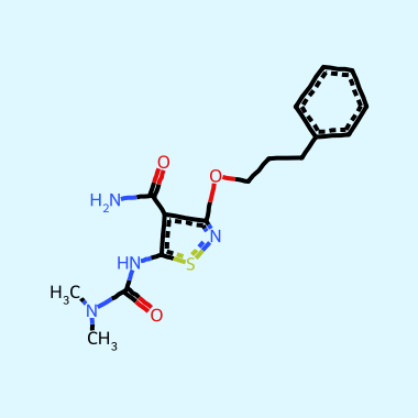 CN(C)C(=O)Nc1snc(OCCCc2ccccc2)c1C(N)=O